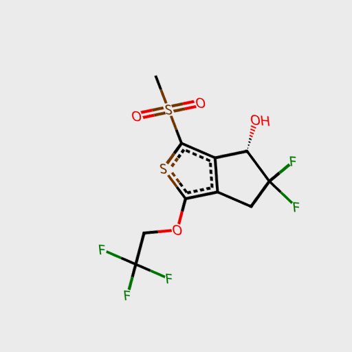 CS(=O)(=O)c1sc(OCC(F)(F)F)c2c1[C@H](O)C(F)(F)C2